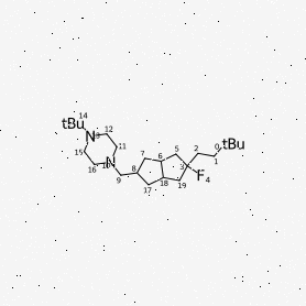 CC(C)(C)CCC1(F)CC2CC(CN3CCN(C(C)(C)C)CC3)CC2C1